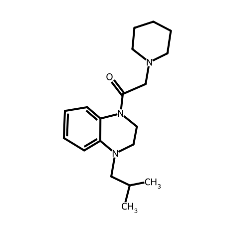 CC(C)CN1CCN(C(=O)CN2CCCCC2)c2ccccc21